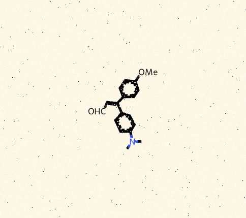 COc1ccc(C(=CC=O)c2ccc(N(C)C)cc2)cc1